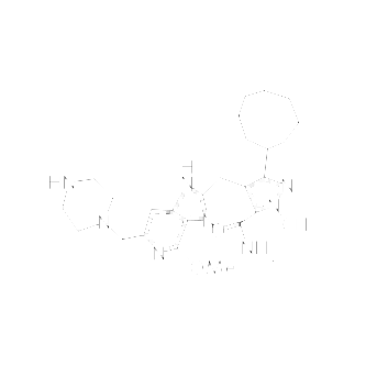 COc1nc(CN2CCNCC2)cc2[nH]c(Cc3c(C4CCCCCCC4)nn(C)c3C(N)=O)nc12